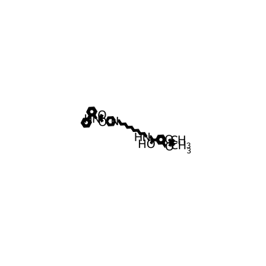 CC1(C)OCc2cc(C(O)CNCCCCCCCCCN3CCC(OC(=O)Nc4ccccc4-c4ccccc4)CC3)ccc2O1